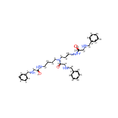 O=C(CNCc1ccccc1)NCCCCN(CCCNC(=O)CNCc1ccccc1)C(=O)CNCc1ccccc1